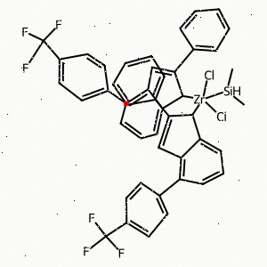 C[SiH](C)[Zr]([Cl])([Cl])([CH]1C(c2ccccc2)=Cc2c(-c3ccc(C(F)(F)F)cc3)cccc21)[CH]1C(c2ccccc2)=Cc2c(-c3ccc(C(F)(F)F)cc3)cccc21